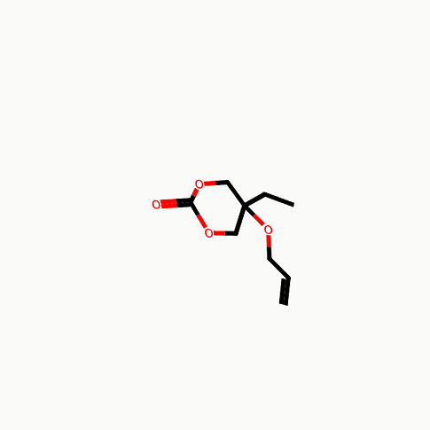 C=CCOC1(CC)COC(=O)OC1